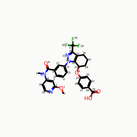 COc1cc(N(C)C(=O)c2cccc(-n3nc(C(F)(F)F)c4c3C(Oc3ccc(C(=O)O)cc3)CCC4)c2)ccn1